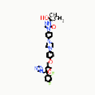 CC[C@@H]([C@H](C)O)n1ncn(-c2ccc(N3CCN(c4ccc(OCC5COC(Cn6cncn6)(c6ccc(F)cc6F)C5)cc4)CC3)cc2)c1=O